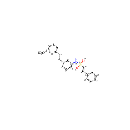 O=C(O)c1cccc(CCc2cccc(NS(=O)(=O)C=Cc3ccccc3)c2)c1